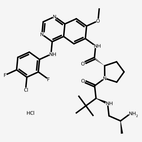 COc1cc2ncnc(Nc3ccc(F)c(Cl)c3F)c2cc1NC(=O)[C@@H]1CCCN1C(=O)[C@@H](NC[C@H](C)N)C(C)(C)C.Cl